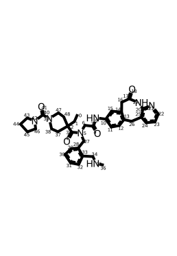 CCC1(C(=O)N(CC(=O)Nc2ccc3c(c2)CC(=O)Nc2ncccc2C3)Cc2ccccc2CNC)CCN(C(=O)N2CCCC2)CC1